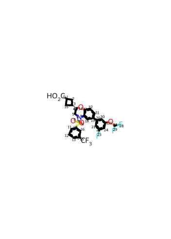 O=C(O)C1CC([C@H]2CN(S(=O)(=O)c3cccc(C(F)(F)F)c3)c3cc(-c4cc(F)cc(OC(F)F)c4)ccc3O2)C1